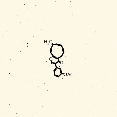 C=C1/C=C\C=C/Cc2c(occ(-c3cccc(OC(C)=O)c3)c2=O)/C=C\1